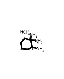 Cl.NC1CCCCC1(N)N